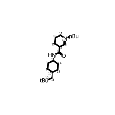 CCCC[N+]1=CC(C(=O)N[C@H]2CC[C@H](CC(C)(C)C)CC2)CCC1